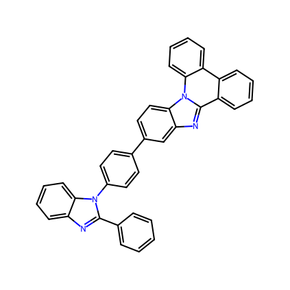 c1ccc(-c2nc3ccccc3n2-c2ccc(-c3ccc4c(c3)nc3c5ccccc5c5ccccc5n43)cc2)cc1